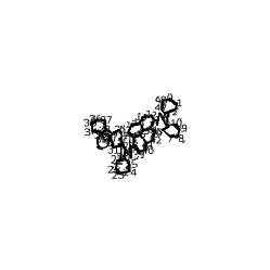 c1ccc(N(c2ccccc2)c2ccc3ccc4c(N(c5ccccc5)c5ccc6c(c5)oc5ccccc56)ccc5ccc2c3c54)cc1